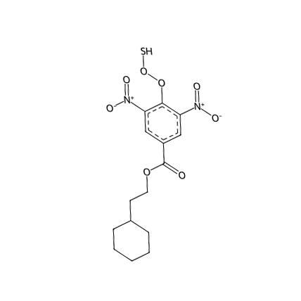 O=C(OCCC1CCCCC1)c1cc([N+](=O)[O-])c(OOS)c([N+](=O)[O-])c1